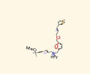 CCCN(C/C=C/C#CC(C)(C)OC)Cc1ccc(COC/C=C/c2ccsc2)o1